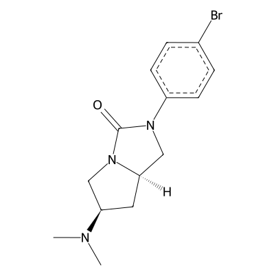 CN(C)[C@@H]1C[C@@H]2CN(c3ccc(Br)cc3)C(=O)N2C1